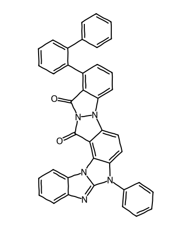 O=c1c2c(-c3ccccc3-c3ccccc3)cccc2n2c3ccc4c(c3c(=O)n12)n1c2ccccc2nc1n4-c1ccccc1